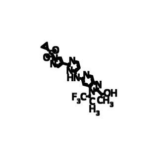 C[C@H](n1c([C@@H](C)O)nc2cnc(Nc3ccnc(-c4cnn(S(=O)(=O)C5CC5)c4)n3)cc21)C(F)(F)F